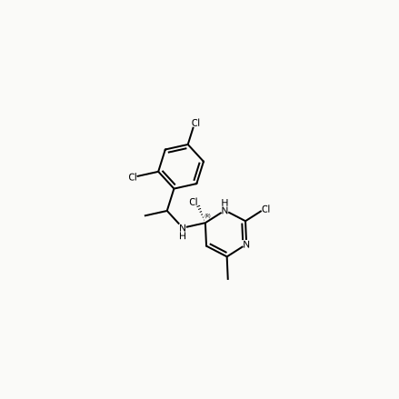 CC1=C[C@@](Cl)(NC(C)c2ccc(Cl)cc2Cl)NC(Cl)=N1